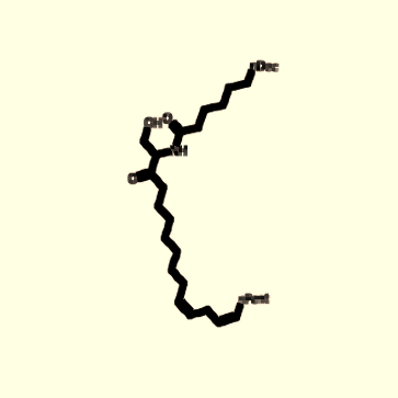 CCCCC/C=C\C/C=C\CCCCCCCC(=O)C(CO)NC(=O)CCCCCCCCCCCCCCC